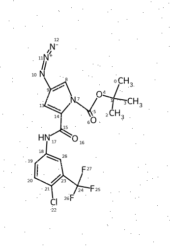 CC(C)(C)OC(=O)n1cc(N=[N+]=[N-])cc1C(=O)Nc1ccc(Cl)c(C(F)(F)F)c1